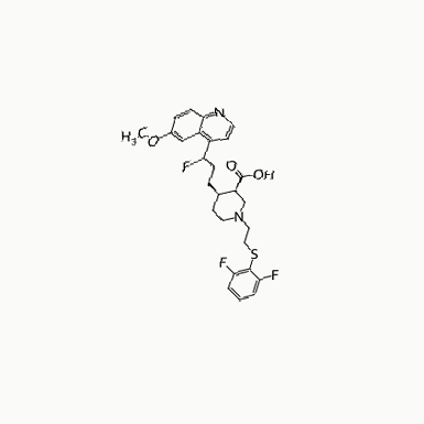 COc1ccc2nccc(C(F)CC[C@@H]3CCN(CCSc4c(F)cccc4F)C[C@@H]3C(=O)O)c2c1